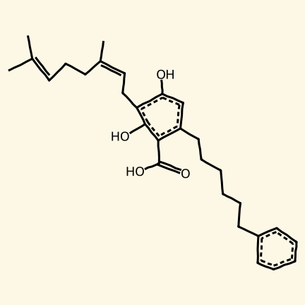 CC(C)=CCCC(C)=CCc1c(O)cc(CCCCCCc2ccccc2)c(C(=O)O)c1O